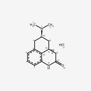 CN(C)[C@@H]1Cc2cccc3c2[C@H](CC(=O)N3)C1.Cl